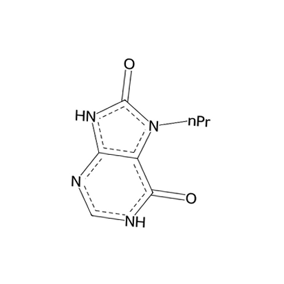 CCCn1c(=O)[nH]c2nc[nH]c(=O)c21